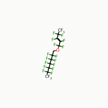 FC(=C(F)C(F)(F)C(F)(F)F)C(F)(F)OCC(F)(F)C(F)(F)C(F)(F)C(F)(F)C(F)(F)C(F)(F)F